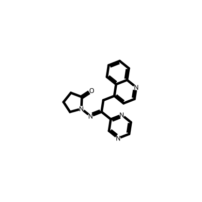 O=C1CCCN1/N=C(\Cc1ccnc2ccccc12)c1cnccn1